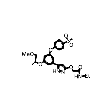 CCNC(=O)COc1cc(-c2cc(Oc3ccc(S(C)(=O)=O)cc3)cc(O[C@@H](C)COC)c2)[nH]n1